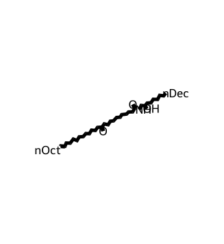 CCCCCCCCC=CCCCCCCCCCCCC(=O)CCCCCCCCCCC(=O)NCC(O)CCCCCCCCCCCCCCCC